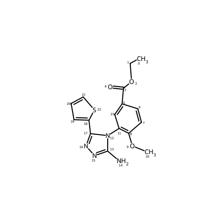 CCOC(=O)c1ccc(OC)c(-n2c(N)nnc2-c2cccs2)c1